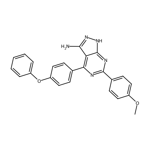 COc1ccc(-c2nc(-c3ccc(Oc4ccccc4)cc3)c3c(N)n[nH]c3n2)cc1